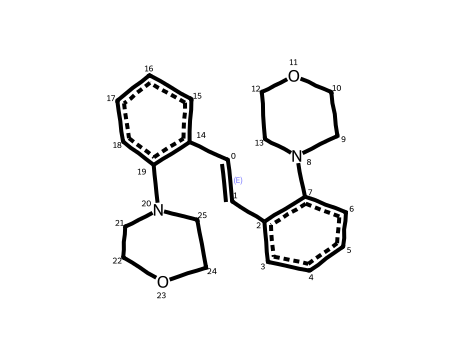 C(=C\c1ccccc1N1CCOCC1)/c1ccccc1N1CCOCC1